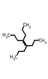 CCCC(CCC)=C(CCC)CCC